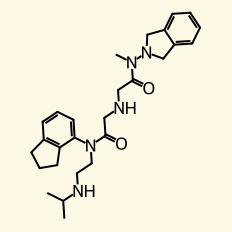 CC(C)NCCN(C(=O)CNCC(=O)N(C)N1Cc2ccccc2C1)c1cccc2c1CCC2